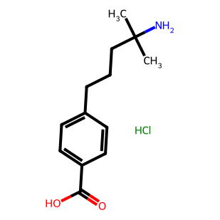 CC(C)(N)CCCc1ccc(C(=O)O)cc1.Cl